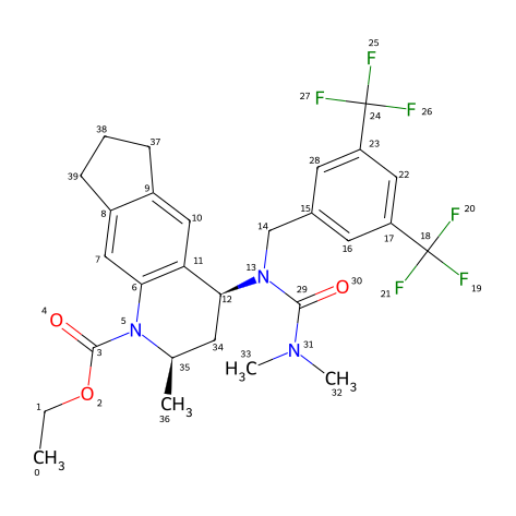 CCOC(=O)N1c2cc3c(cc2[C@@H](N(Cc2cc(C(F)(F)F)cc(C(F)(F)F)c2)C(=O)N(C)C)C[C@H]1C)CCC3